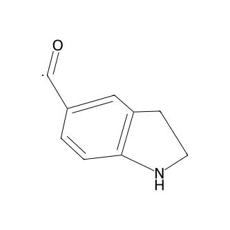 O=[C]c1ccc2c(c1)CCN2